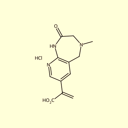 C=C(C(=O)O)c1cnc2c(c1)CN(C)CC(=O)N2.Cl